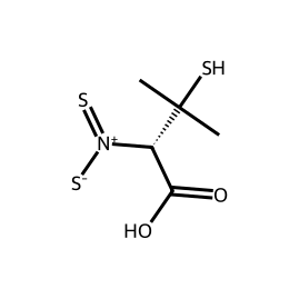 CC(C)(S)[C@H](C(=O)O)[N+](=S)[S-]